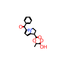 CC(OC(=O)C1CCn2c(C(=O)c3ccccc3)ccc21)C(=O)O